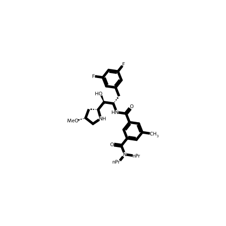 CCCN(CCC)C(=O)c1cc(C)cc(C(=O)N[C@@H](Cc2cc(F)cc(F)c2)[C@H](O)[C@H]2C[C@@H](OC)CN2)c1